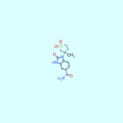 CC1(n2c(=O)[nH]c3cc(C(N)=O)ccc32)CCS(=O)(=O)C1